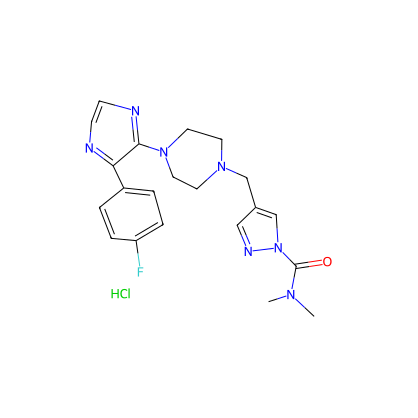 CN(C)C(=O)n1cc(CN2CCN(c3nccnc3-c3ccc(F)cc3)CC2)cn1.Cl